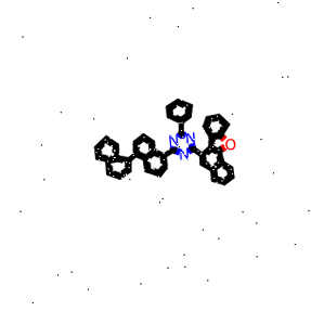 c1ccc(-c2nc(-c3cccc4c(-c5cccc6ccccc56)cccc34)nc(-c3cc4ccccc4c4oc5ccccc5c34)n2)cc1